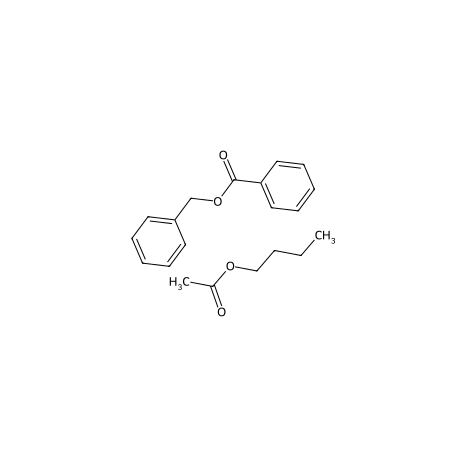 CCCCOC(C)=O.O=C(OCc1ccccc1)c1ccccc1